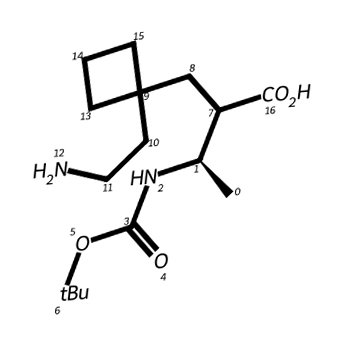 C[C@@H](NC(=O)OC(C)(C)C)C(CC1(CCN)CCC1)C(=O)O